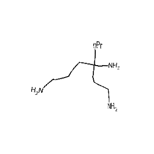 [CH2]CCC(N)(CCN)CCCN